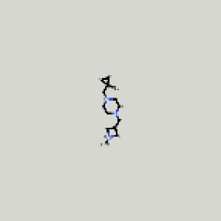 CCC1(CN2CCN(CC3CN(C(C)C)C3)CC2)CC1